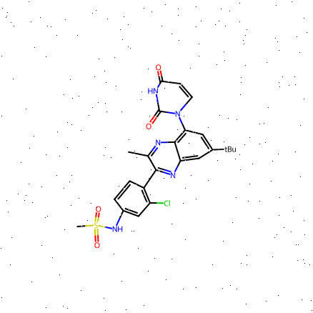 Cc1nc2c(-n3ccc(=O)[nH]c3=O)cc(C(C)(C)C)cc2nc1-c1ccc(NS(C)(=O)=O)cc1Cl